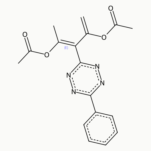 C=C(OC(C)=O)/C(=C(\C)OC(C)=O)c1nnc(-c2ccccc2)nn1